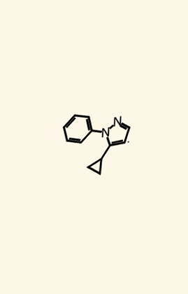 [c]1cnn(-c2ccccc2)c1C1CC1